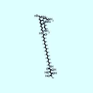 CCCCN(CC(CCCCCCNC(=O)CCCCCCCCCCCCCCCCCNC(=O)[C@H](O)[C@@H](O)[C@H](O)[C@@H](C)O)CN(CCCC)NCCCN)NCCCN